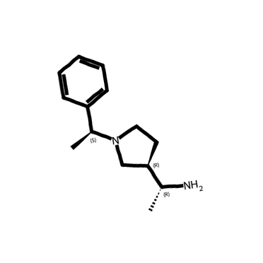 C[C@@H](N)[C@@H]1CCN([C@@H](C)c2ccccc2)C1